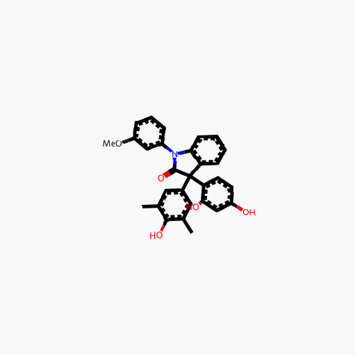 COc1cccc(N2C(=O)C(c3cc(C)c(O)c(C)c3)(c3ccc(O)cc3O)c3ccccc32)c1